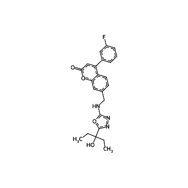 CCC(O)(CC)c1nnc(NCc2ccc3c(-c4cccc(F)c4)cc(=O)oc3c2)o1